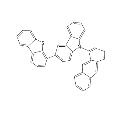 c1ccc2cc3c(-n4c5ccccc5c5cc(-c6cccc7c6sc6ccccc67)ccc54)cccc3cc2c1